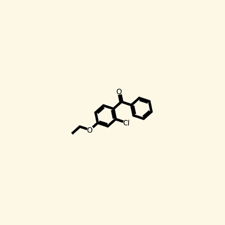 CCOc1ccc(C(=O)c2ccccc2)c(Cl)c1